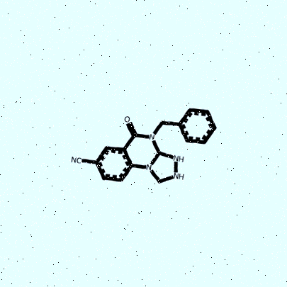 N#Cc1ccc2c(c1)C(=O)N(Cc1ccccc1)C1NNCN21